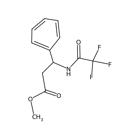 COC(=O)CC(NC(=O)C(F)(F)F)c1ccccc1